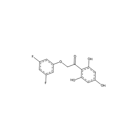 O=C(COc1cc(F)cc(F)c1)c1c(O)cc(O)cc1O